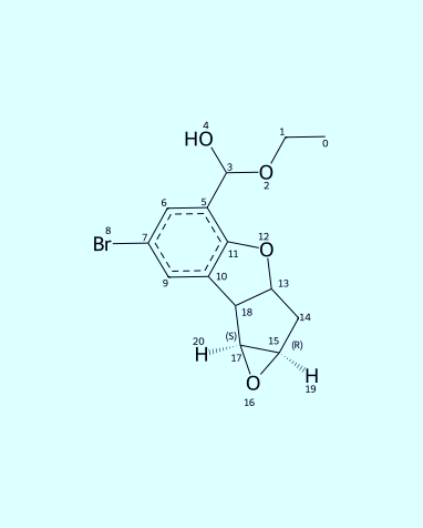 CCOC(O)c1cc(Br)cc2c1OC1C[C@H]3O[C@H]3C21